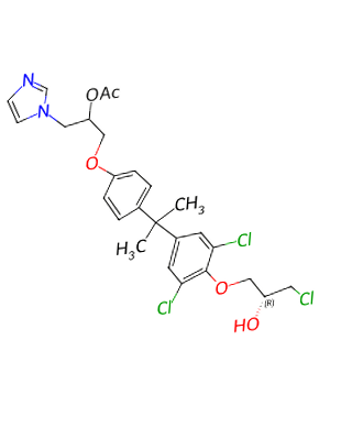 CC(=O)OC(COc1ccc(C(C)(C)c2cc(Cl)c(OC[C@@H](O)CCl)c(Cl)c2)cc1)Cn1ccnc1